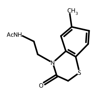 CC(=O)NCCN1C(=O)CSc2ccc(C)cc21